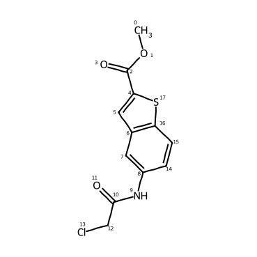 COC(=O)c1cc2cc(NC(=O)CCl)ccc2s1